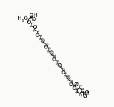 CC(OCCOCCOCCOCCOCCOCCOCCOCCOCCOCCOC(=O)Oc1ccc([N+](=O)[O-])cc1)C(=O)O